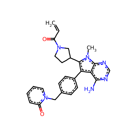 C=CC(=O)N1CCC(c2c(-c3ccc(Cn4ccccc4=O)cc3)c3c(N)ncnc3n2C)C1